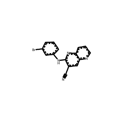 N#Cc1cc2ncccc2nc1Nc1cccc(Br)c1